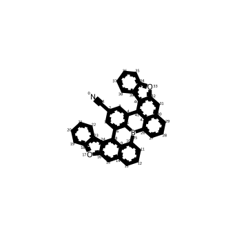 N#Cc1cc2c3c(c1)-c1c4c(cccc4cc4oc5ccccc5c14)B3c1cccc3cc4oc5ccccc5c4c-2c13